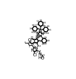 CCCCc1nc(Cl)c(CNC=O)n1Cc1c2ccocc-2c(Br)c1-c1ccccc1-c1nnn(C(c2ccccc2)(c2ccccc2)c2ccccc2)n1